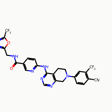 N#Cc1ccc(N2CCc3c(ncnc3Nc3ccc(C(=O)NCc4nnc(C(F)(F)F)o4)cn3)C2)cc1C(F)(F)F